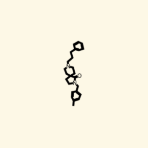 Cc1ccc(CN2CCC3(CCN(CCCc4ccccc4)CC3)C2=O)cc1